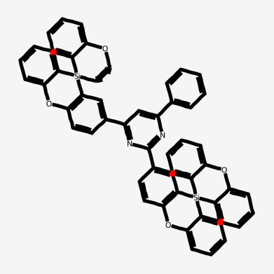 c1ccc(-c2cc(-c3ccc4c(c3)[Si]3(c5ccccc5Oc5ccccc53)c3ccccc3O4)nc(-c3ccc4c(c3)[Si]3(c5ccccc5Oc5ccccc53)c3ccccc3O4)n2)cc1